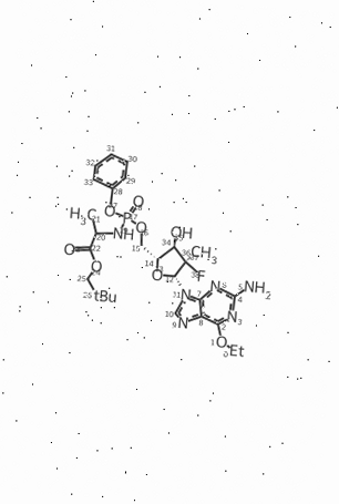 CCOc1nc(N)nc2c1ncn2[C@@H]1O[C@H](COP(=O)(NC(C)C(=O)OCC(C)(C)C)Oc2ccccc2)[C@@H](O)[C@@]1(C)F